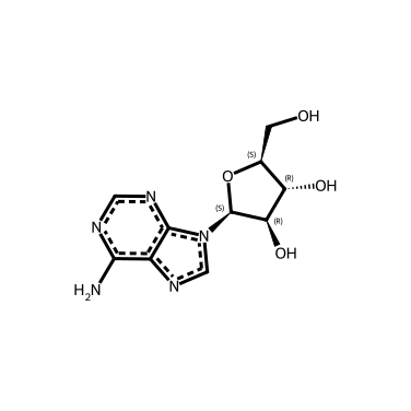 Nc1ncnc2c1ncn2[C@H]1O[C@@H](CO)[C@H](O)[C@H]1O